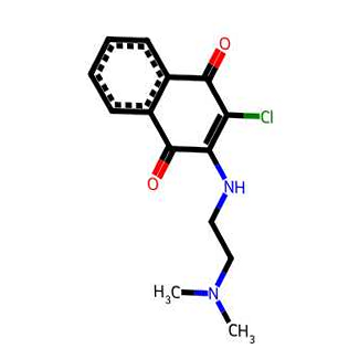 CN(C)CCNC1=C(Cl)C(=O)c2ccccc2C1=O